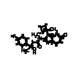 CN(C(=O)CC(C)(O)c1ccc(F)cc1)c1nc2ccc(Cl)nc2n1C1(C)CCC1